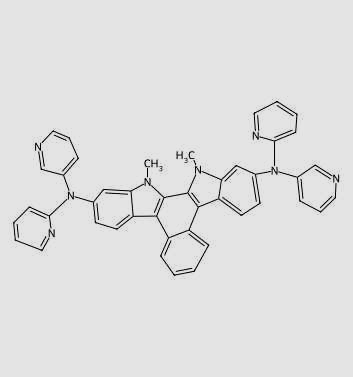 Cn1c2cc(N(c3cccnc3)c3ccccn3)ccc2c2c3ccccc3c3c4ccc(N(c5cccnc5)c5ccccn5)cc4n(C)c3c21